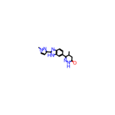 CC1CC(=O)NN=C1c1ccc2nc(-c3ccn(C)n3)[nH]c2c1